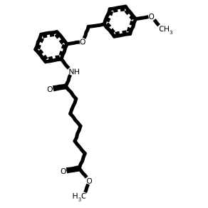 COC(=O)CCCCCC(=O)Nc1ccccc1OCc1ccc(OC)cc1